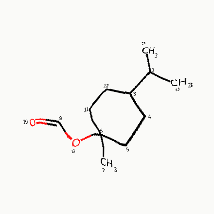 CC(C)C1CCC(C)(OC=O)CC1